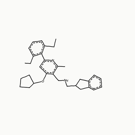 CCc1cccc(CC)c1-c1cc(OC2CCCC2)c(CNCC2Cc3ccccc3C2)c(C)n1